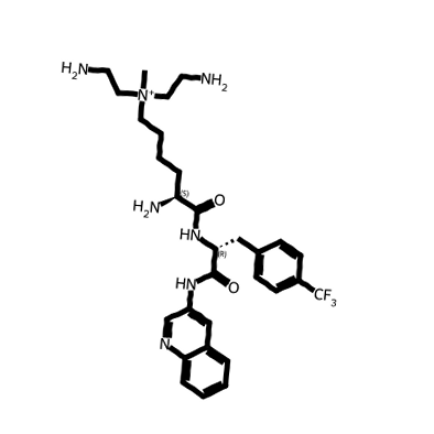 C[N+](CCN)(CCN)CCCC[C@H](N)C(=O)N[C@H](Cc1ccc(C(F)(F)F)cc1)C(=O)Nc1cnc2ccccc2c1